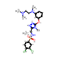 CCn1c(Oc2cccc(N(C)CCN(C)C)c2)nnc1[C@@H](C)NS(=O)(=O)c1ccc(Cl)c(Cl)c1